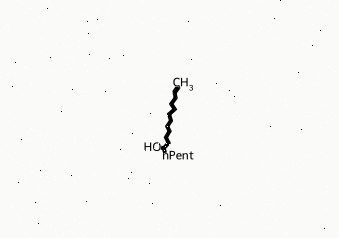 C/C=C/CCCCCCCCCC(O)CCCCC